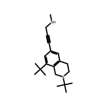 CNCC#Cc1cc2c(c(C(C)(C)C)c1)CN(C(C)(C)C)CC2